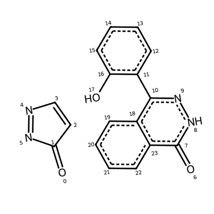 O=C1C=CN=N1.O=c1[nH]nc(-c2ccccc2O)c2ccccc12